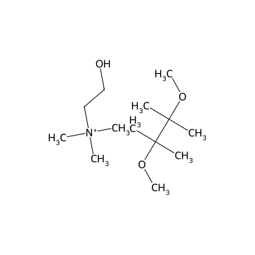 COC(C)(C)C(C)(C)OC.C[N+](C)(C)CCO